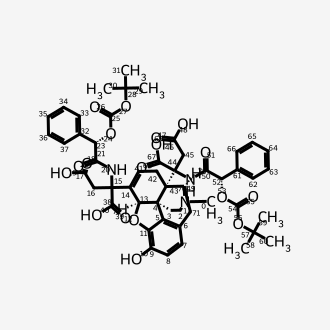 CN1CC[C@]23c4c5ccc(O)c4O[C@H]2C(C(CC(=O)O)(NC(=O)[C@@H](OC(=O)OC(C)(C)C)c2ccccc2)C(=O)O)=CC[C@@]3(C(CC(=O)O)(NC(=O)[C@@H](OC(=O)OC(C)(C)C)c2ccccc2)C(=O)O)[C@H]1C5